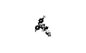 CC(C)(C)[C@H](NC(=O)c1nn(Cc2ccc(C#N)cc2)c2ccc(F)cc12)C(=O)NCC(=O)O